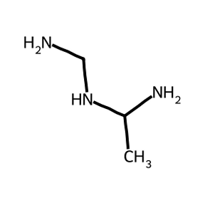 CC(N)NCN